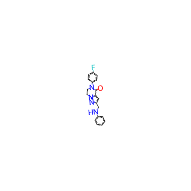 O=C1c2cc(CNc3ccccc3)nn2CCN1c1ccc(F)cc1